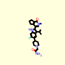 CC(C)c1c(-c2cn(C)c(=O)c3c2CCC3)[nH]c2cc(F)c(C3CCN(CC(N)=O)CC3)cc12